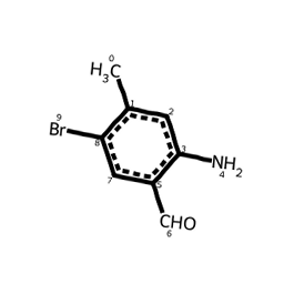 Cc1cc(N)c(C=O)cc1Br